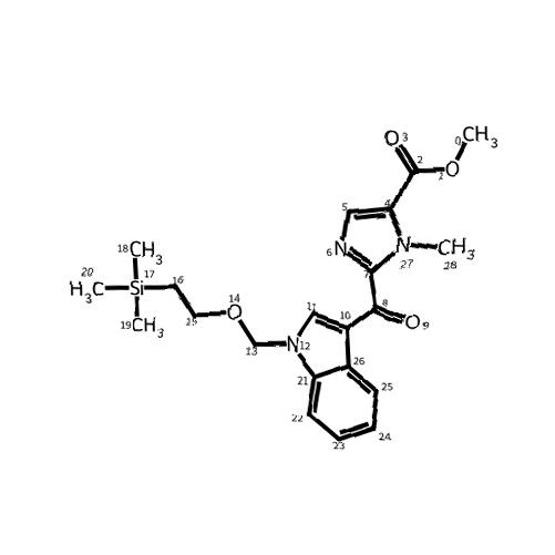 COC(=O)c1cnc(C(=O)c2cn(COCC[Si](C)(C)C)c3ccccc23)n1C